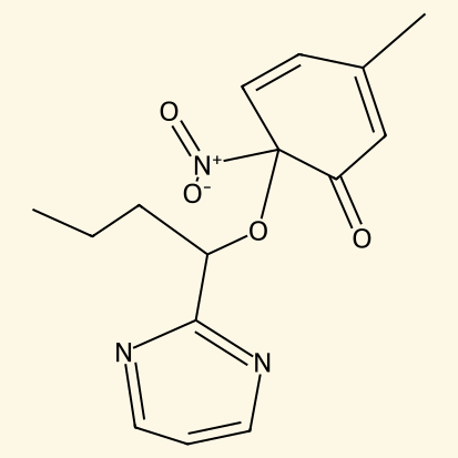 CCCC(OC1([N+](=O)[O-])C=CC(C)=CC1=O)c1ncccn1